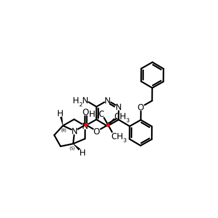 CC(C)(C)OC(=O)N1[C@@H]2CC[C@H]1CN(c1cc(-c3ccccc3OCc3ccccc3)nnc1N)C2